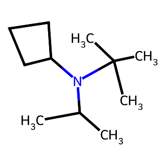 CC(C)N(C1CCC1)C(C)(C)C